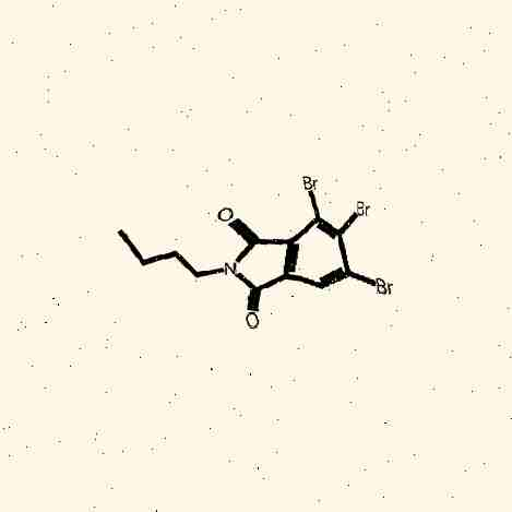 CCCCN1C(=O)c2cc(Br)c(Br)c(Br)c2C1=O